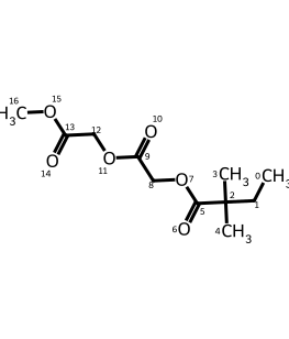 CCC(C)(C)C(=O)OCC(=O)OCC(=O)OC